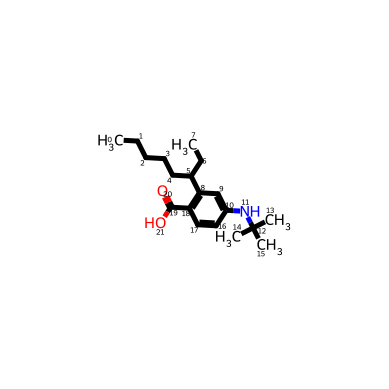 CCCCCC(CC)c1cc(NC(C)(C)C)ccc1C(=O)O